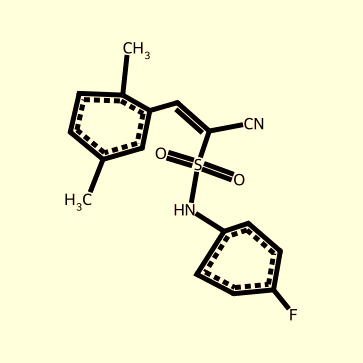 Cc1ccc(C)c(C=C(C#N)S(=O)(=O)Nc2ccc(F)cc2)c1